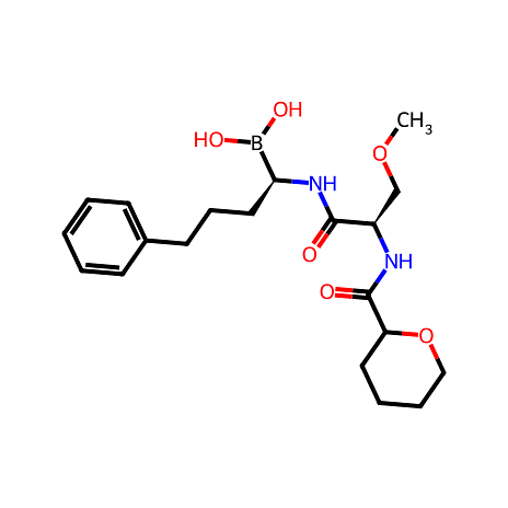 COC[C@@H](NC(=O)C1CCCCO1)C(=O)N[C@@H](CCCc1ccccc1)B(O)O